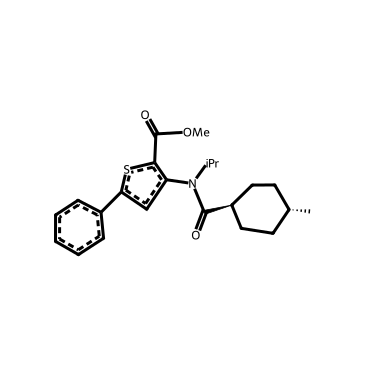 COC(=O)c1sc(-c2ccccc2)cc1N(C(=O)[C@H]1CC[C@H](C)CC1)C(C)C